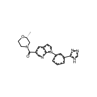 C[C@@H]1CN(C(=O)c2cnc3c(ccn3-c3cccc(-c4nnc[nH]4)c3)c2)CCO1